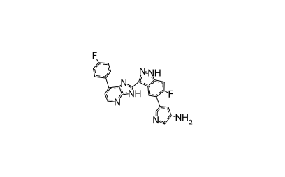 Nc1cncc(-c2cc3c(-c4nc5c(-c6ccc(F)cc6)ccnc5[nH]4)n[nH]c3cc2F)c1